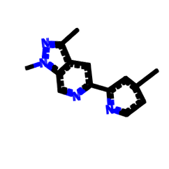 Cc1ccnc(-c2cc3c(C)nn(C)c3cn2)c1